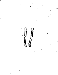 O=[C]=[Ni].O=[C]=[Ni]